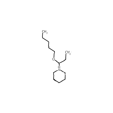 [CH2]CC(OCCCCC)[SiH]1CCCCC1